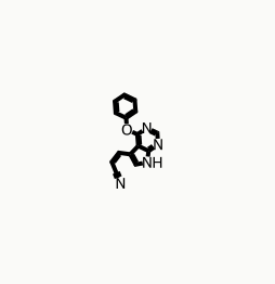 N#C/C=C\c1c[nH]c2ncnc(Oc3ccccc3)c12